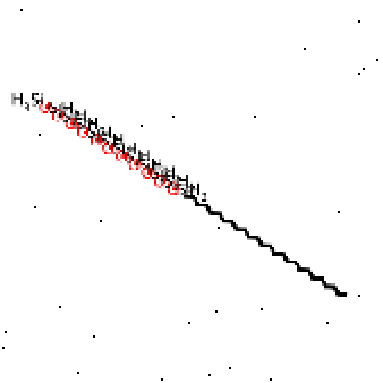 CCCCCCCCCCCCCCCCCCCCCCCCCC[SiH2]O[SiH2]O[SiH2]O[SiH2]O[SiH2]O[SiH2]O[SiH2]O[SiH2]O[SiH2]O[SiH2]O[SiH2]O[SiH3]